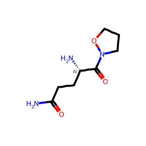 NC(=O)CC[C@H](N)C(=O)N1CCCO1